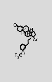 CC(=O)[C@H]1CC[C@H]2[C@@H]3CCC4=CC(=O)CC[C@]4(C)[C@H]3CC[C@]12CCCc1cccc(OC(F)(F)F)c1